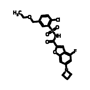 CCOCc1ccc(Cl)c(S(=O)(=O)NC(=O)c2cc3c(F)cc(N4CCC4)cc3o2)c1